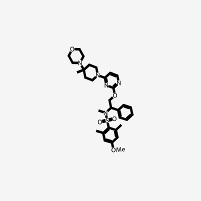 COc1cc(C)c(S(=O)(=O)N(C)C(COc2nccc(N3CCC(C)(N4CCOCC4)CC3)n2)c2ccccc2)c(C)c1